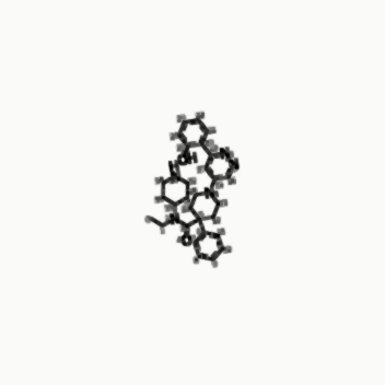 CCN(C(=O)C1(c2ccccc2)CCN(c2cnnc(-c3ccccc3O)c2)CC1)C1CCNCC1